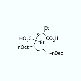 CCCCCCCCCCCCCC(CCCCCCCC)C(CC)(SC(CC)C(=O)O)C(=O)O